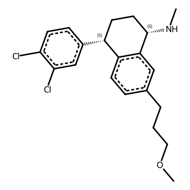 CN[C@H]1CC[C@@H](c2ccc(Cl)c(Cl)c2)c2ccc(CCCOC)cc21